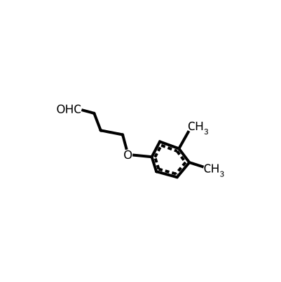 Cc1ccc(OCCCC=O)cc1C